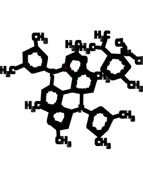 Cc1cc(C)cc(P(c2cc(C)cc(C)c2)c2ccc3c(c2-c2c(P(c4cc(C)cc(C)c4)c4cc(C)cc(C)c4)ccc4c2OCO4)OCO3)c1.Cc1ccc(C(C)C)cc1.[Cl][Ru][Cl]